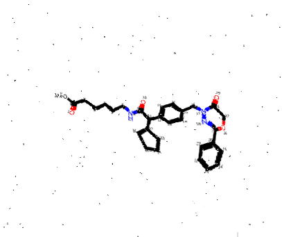 COC(=O)CCCCCNC(=O)C(c1ccc(CN2N=C(c3ccccc3)OCC2=O)cc1)C1CCCC1